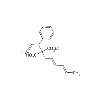 C=CC(c1ccccc1)C(CC=CC=CC)(C(=O)O)C(=O)OCC